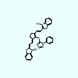 CCN1C(=CC=C2CCC(C=Cc3sc4ccccc4[n+]3CC)=C2Sc2nnnn2-c2ccccc2)Sc2ccccc21